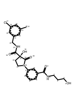 O=C(NCCCO)c1cccc(N2CC[C@](O)(C(=O)NCc3cc(F)cc(Cl)c3)C2=O)c1